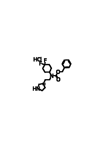 Cl.O=C(OCc1ccccc1)N(CC[C@H]1CCNC1)C1CCC(F)(F)CC1